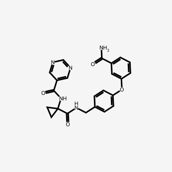 NC(=O)c1cccc(Oc2ccc(CNC(=O)C3(NC(=O)c4cncnc4)CC3)cc2)c1